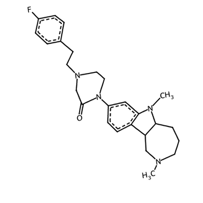 CN1CCCC2C(C1)c1ccc(N3CCN(CCc4ccc(F)cc4)CC3=O)cc1N2C